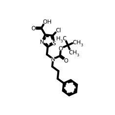 CC(C)(C)OC(=O)N(CCCc1ccccc1)Cc1nc(C(=O)O)c(Cl)s1